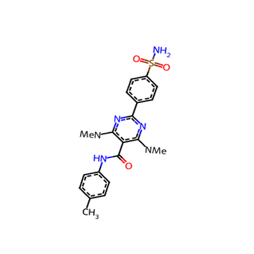 CNc1nc(-c2ccc(S(N)(=O)=O)cc2)nc(NC)c1C(=O)Nc1ccc(C)cc1